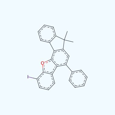 CC1(C)c2ccccc2-c2c1cc(-c1ccccc1)c1c2oc2c(I)cccc21